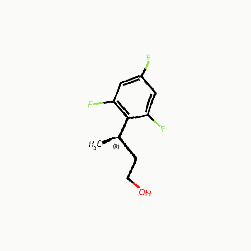 C[C@H](CCO)c1c(F)cc(F)cc1F